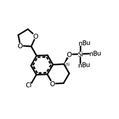 CCCC[Si](CCCC)(CCCC)O[C@H]1CCOc2c(Cl)cc(C3OCCO3)cc21